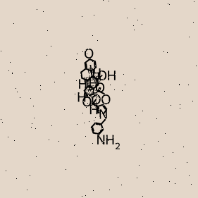 C[C@]12C=CC(=O)C=C1CC[C@@H]1[C@@H]2[C@@H](O)C[C@@]2(C)[C@H]1C[C@H]1O[C@@H]3O[C@]12C(=O)COc1cn(Cc2cccc(N)c2)cc13